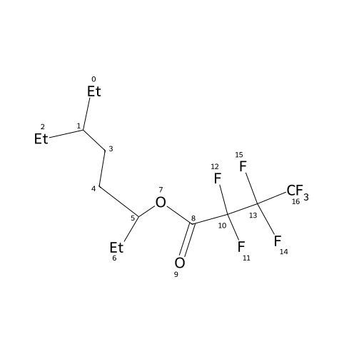 CCC(CC)CCC(CC)OC(=O)C(F)(F)C(F)(F)C(F)(F)F